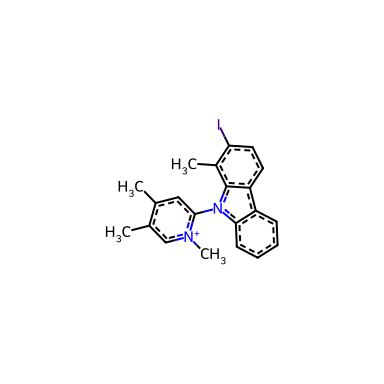 Cc1cc(-n2c3ccccc3c3ccc(I)c(C)c32)[n+](C)cc1C